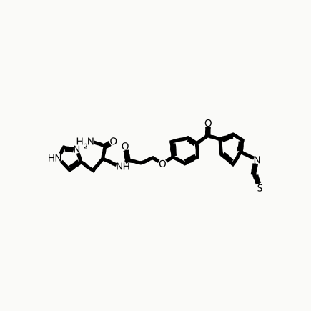 NC(=O)C(Cc1c[nH]cn1)NC(=O)CCOc1ccc(C(=O)c2ccc(N=C=S)cc2)cc1